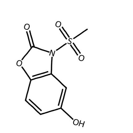 CS(=O)(=O)n1c(=O)oc2ccc(O)cc21